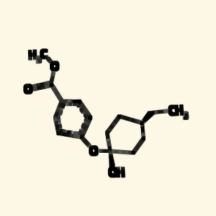 CC[C@H]1CC[C@](O)(Oc2ccc(C(=O)OC)cc2)CC1